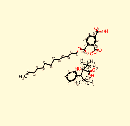 CC(C)(C)C(c1ccccc1)C(O)(C(=O)O)C(C)(C)C.CCCCCCCCCCCCCOC(=O)c1ccc(C(=O)O)cc1C(=O)O